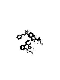 CN(C)c1ccccc1C1CCN(c2nc(C3(C)CC3)nc3ccc(N(C)CCN4CCCC4)cc23)CC1